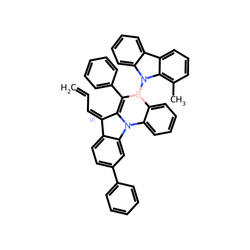 C=C/C=c1\c2n(c3cc(-c4ccccc4)ccc13)-c1ccccc1B(n1c3ccccc3c3cccc(C)c31)C=2c1ccccc1